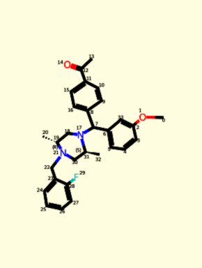 COc1cccc(C(c2ccc(C(C)=O)cc2)N2C[C@@H](C)N(Cc3ccccc3F)C[C@@H]2C)c1